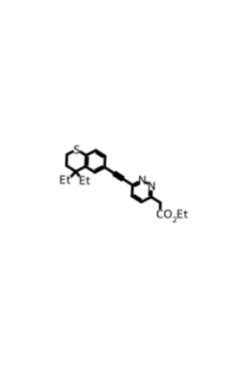 CCOC(=O)Cc1ccc(C#Cc2ccc3c(c2)C(CC)(CC)CCS3)nn1